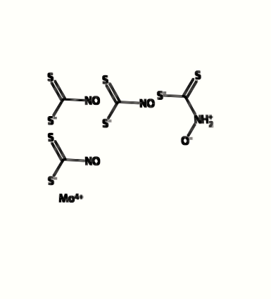 O=NC(=S)[S-].O=NC(=S)[S-].O=NC(=S)[S-].[Mo+4].[O-][NH2+]C(=S)[S-]